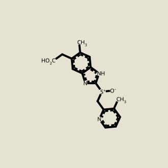 Cc1cc2[nH]c([S+]([O-])Cc3ncccc3C)nc2cc1CC(=O)O